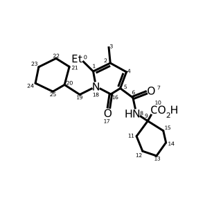 CCc1c(C)cc(C(=O)NC2(C(=O)O)CCCCC2)c(=O)n1CC1CCCCC1